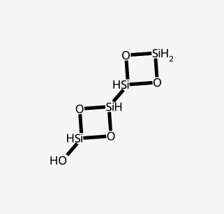 O[SiH]1O[SiH]([SiH]2O[SiH2]O2)O1